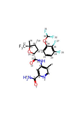 Cc1cnc(C(N)=O)cc1NC(=O)[C@@H]1O[C@@](C)(C(F)(F)F)[C@H](C)[C@@H]1c1ccc(F)c(F)c1OC(F)F